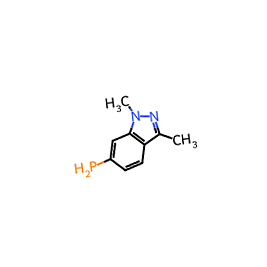 Cc1nn(C)c2cc(P)ccc12